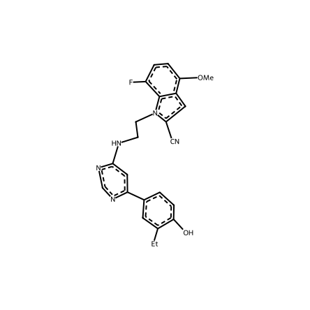 CCc1cc(-c2cc(NCCn3c(C#N)cc4c(OC)ccc(F)c43)ncn2)ccc1O